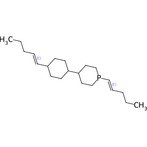 CCC/C=C/C1CCC(C2CCP(/C=C/CCC)CC2)CC1